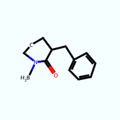 BN1CCCC(Cc2ccccc2)C1=O